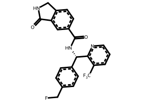 O=C(N[C@@H](c1ccc(CF)cc1)c1ncccc1C(F)(F)F)c1ccc2c(c1)C(=O)NC2